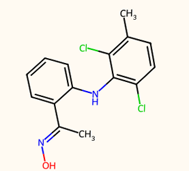 C/C(=N\O)c1ccccc1Nc1c(Cl)ccc(C)c1Cl